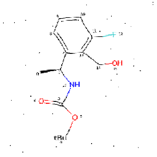 C[C@H](NC(=O)OC(C)(C)C)c1cccc(F)c1CO